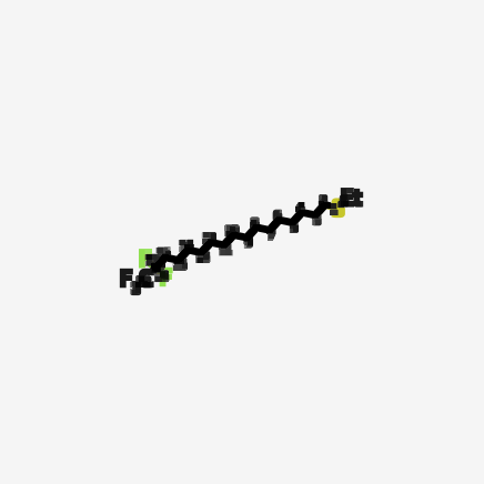 CCSCCCCCCCCCCCCCCCC(F)(F)C(F)(F)F